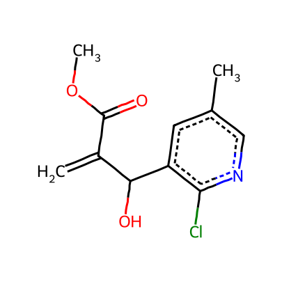 C=C(C(=O)OC)C(O)c1cc(C)cnc1Cl